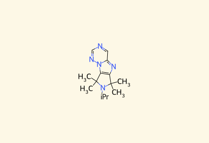 CC(C)N1C(C)(C)c2nc3cncnn3c2C1(C)C